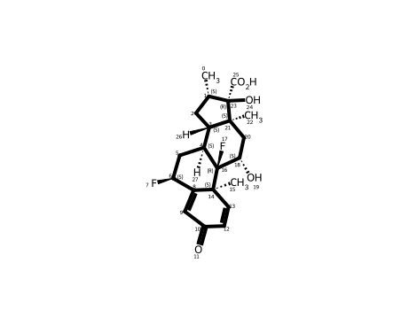 C[C@H]1C[C@H]2[C@@H]3C[C@H](F)C4=CC(=O)C=C[C@]4(C)[C@@]3(F)[C@@H](O)C[C@]2(C)[C@@]1(O)C(=O)O